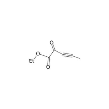 CC#CC(=O)C(=O)OCC